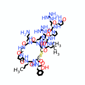 CCCC[C@@H]1NC(=O)[C@@H]2CCCN2C(=O)CNC(=O)[C@H](CCCCN)NC(=O)[C@H](Cc2cnc[nH]2)NC(=O)C(NC(=O)[C@H](CC(C)C)NC(=O)[C@H](CCCNC(=N)N)NC(=O)[C@@H]2CCCN2C(=O)[C@H](CCCNC(=N)N)NC(=O)[C@@H]2CCC(=O)N2)CSSC[C@@H](C(=O)N[C@@H](Cc2ccccc2)C(=O)O)NC1=O